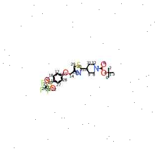 CC(C)(C)OC(=O)N1CCC(c2nc(COc3ccc(S(=O)(=O)C(F)(F)F)cc3)cs2)CC1